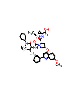 C=C[C@@H]1C[C@]1(NC(=O)[C@@H]1C[C@@H](Oc2cc(-c3ccccc3)nc3cc(OC)ccc23)CN1C(=O)NC(C(=O)N(C)C1CCCCC1)C(C)C)C(=O)O